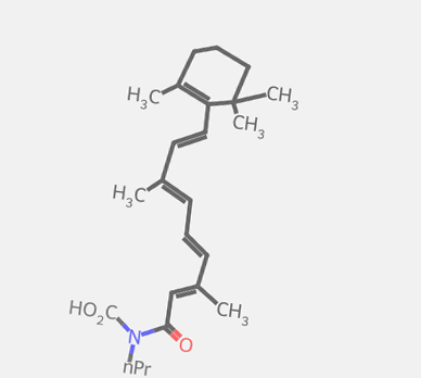 CCCN(C(=O)O)C(=O)C=C(C)C=CC=C(C)C=CC1=C(C)CCCC1(C)C